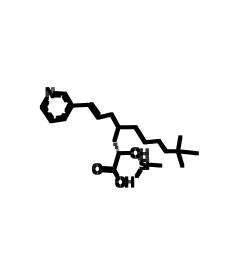 C[SiH](C)O[C@@H](CC(CC=Cc1cccnc1)CCCCC(C)(C)C)C(=O)O